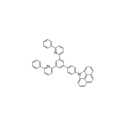 c1ccc(-c2cccc(-c3cc(-c4ccc(-n5c6cccc7ccc8cccc5c8c76)cc4)cc(-c4cccc(-c5ccccc5)n4)c3)n2)cc1